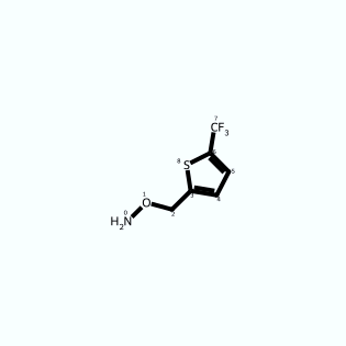 NOCc1ccc(C(F)(F)F)s1